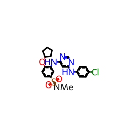 CNS(=O)(=O)c1ccc(OC2CCCC2)c(Nc2cc(Nc3ccc(Cl)cc3)ncn2)c1